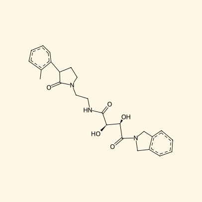 Cc1ccccc1C1CCN(CCNC(=O)[C@H](O)[C@@H](O)C(=O)N2Cc3ccccc3C2)C1=O